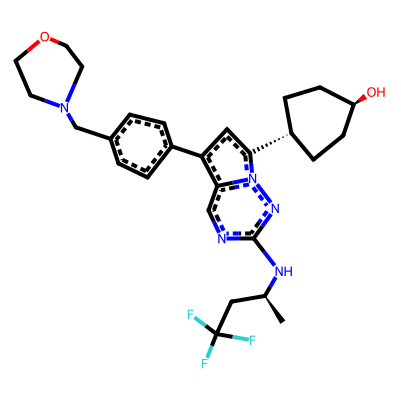 C[C@@H](CC(F)(F)F)Nc1ncc2c(-c3ccc(CN4CCOCC4)cc3)cc([C@H]3CC[C@H](O)CC3)n2n1